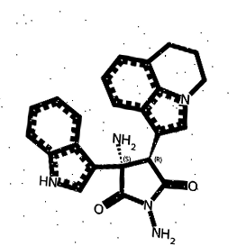 NN1C(=O)[C@H](c2cn3c4c(cccc24)CCC3)[C@](N)(c2c[nH]c3ccccc23)C1=O